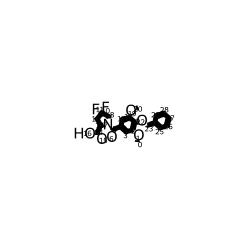 COc1cc(C(=O)N2CC(F)(F)CC2C(=O)O)cc(OC)c1OCc1ccccc1